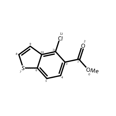 COC(=O)c1ccc2sccc2c1Cl